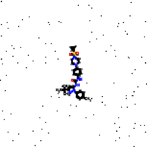 Cc1ccc(-n2nc(C(C)(C)C)cc2NC(=O)Nc2ccc(N3CCN(S(=O)(=O)C4CC4)CC3)cc2)cc1